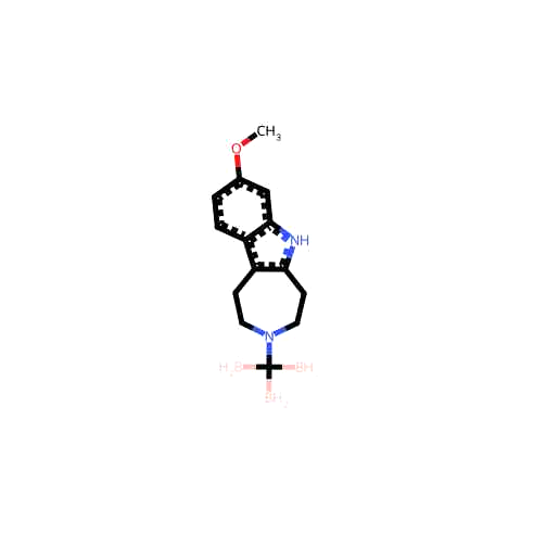 BC(B)(B)N1CCc2[nH]c3cc(OC)ccc3c2CC1